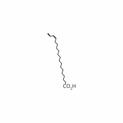 C=C/C=C\CCCCCCCCCCCCCCC(=O)O